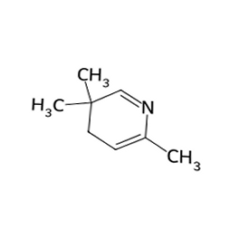 CC1=CCC(C)(C)C=N1